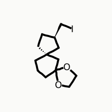 IC[C@@H]1CC[C@]2(CCCC3(C2)OCCO3)C1